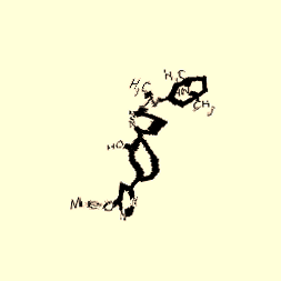 COc1cc(-c2ccc(-c3ccc(N(C)[C@H]4C[C@]5(C)CC[C@](C)(C4)N5)nn3)c(O)c2)ncn1